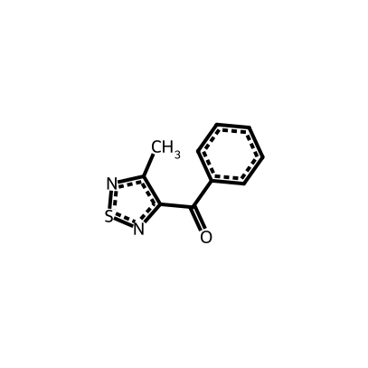 Cc1nsnc1C(=O)c1ccccc1